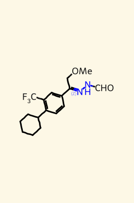 COC/C(=N\NC=O)c1ccc(C2CCCCC2)c(C(F)(F)F)c1